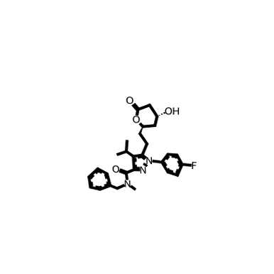 CC(C)c1c(C(=O)N(C)Cc2ccccc2)nn(-c2ccc(F)cc2)c1CC[C@@H]1C[C@@H](O)CC(=O)O1